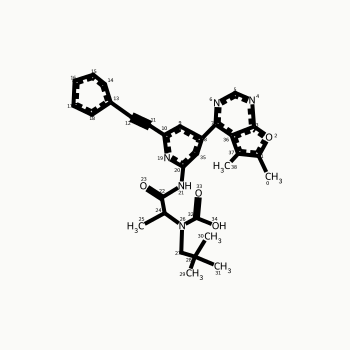 Cc1oc2ncnc(-c3cc(C#Cc4ccccc4)nc(NC(=O)C(C)N(CC(C)(C)C)C(=O)O)c3)c2c1C